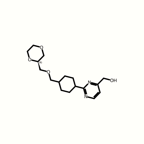 OCc1ccnc(C2CCC(COC[C@@H]3COCCO3)CC2)n1